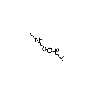 C=CCCNCC=CCOc1ccc(C(=O)C=CC=C(C)C)cc1